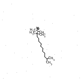 CC(C)CCCCCCCCCC(C)(C)[SH](C)(C)=O